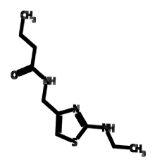 CCCC(=O)NCc1csc(NCC)n1